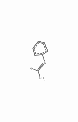 [2H]/C(N)=N\c1ccccc1